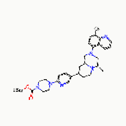 C[C@@H]1CN(c2ccc(C#N)c3ncccc23)CC2CC(c3ccc(N4CCN(C(=O)OC(C)(C)C)CC4)nc3)CCN21